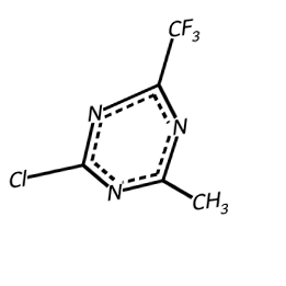 Cc1nc(Cl)nc(C(F)(F)F)n1